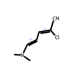 CN(C)/C=C/C=C(\Cl)C#N